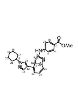 COC(=O)c1ccc(Nc2nc3c(-c4cnn(C5CCCCC5)c4)cccn3n2)cc1